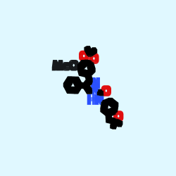 COc1cc(C2=NN(C(=O)Nc3ccc4c(c3)CC(C)(C)O4)CC2c2ccccc2)cc2c1OC(C)(C)O2